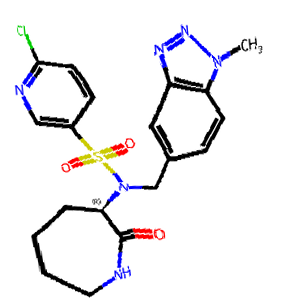 Cn1nnc2cc(CN([C@@H]3CCCCNC3=O)S(=O)(=O)c3ccc(Cl)nc3)ccc21